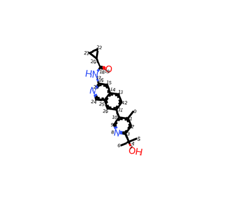 Cc1cc(C(C)(C)O)ncc1-c1ccc2cc(NC(=O)C3CC3)ncc2c1